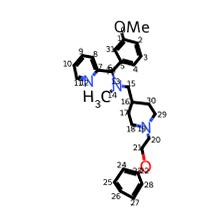 COc1cccc([C@H](c2ccccn2)N(C)CC2CCN(CCOc3ccccc3)CC2)c1